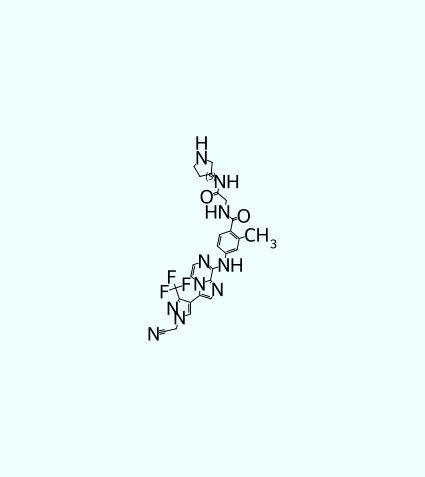 Cc1cc(Nc2nccn3c(-c4cn(CC#N)nc4C(F)(F)F)cnc23)ccc1C(=O)NCC(=O)N[C@H]1CCNC1